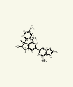 CCCCc1nc(-c2nc(N)c3c(n2)NC(=O)C3(C)c2ccc(C(F)(F)F)cn2)cn2cc(C)nc12